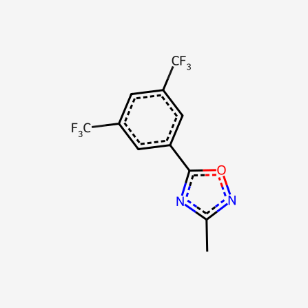 Cc1noc(-c2cc(C(F)(F)F)cc(C(F)(F)F)c2)n1